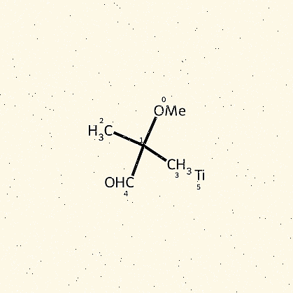 COC(C)(C)C=O.[Ti]